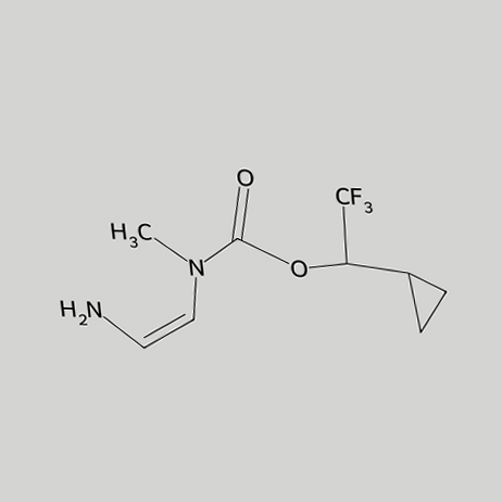 CN(/C=C\N)C(=O)OC(C1CC1)C(F)(F)F